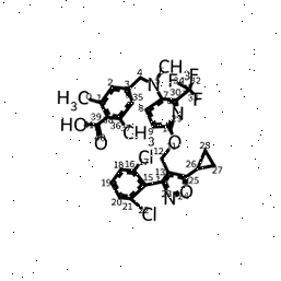 Cc1cc(CN(C)c2ccc(OCc3c(-c4c(Cl)cccc4Cl)noc3C3CC3)nc2C(F)(F)F)cc(C)c1C(=O)O